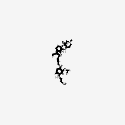 CN1CCC(Nc2cccc3c(CC(F)(F)F)c(C#CCNc4cc(F)c(NCCO)cc4OC(F)F)sc23)C(F)(F)C1